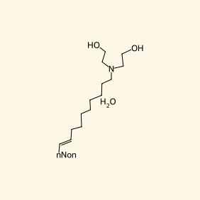 CCCCCCCCCC=CCCCCCCCCN(CCO)CCO.O